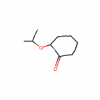 CC(C)OC1CCCCC1=O